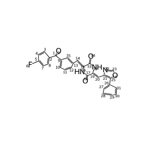 O=C(c1ccc(F)cc1)c1cccc(C=c2[nH]c(=O)c(=Cc3ncoc3-c3ccccc3)[nH]c2=O)c1